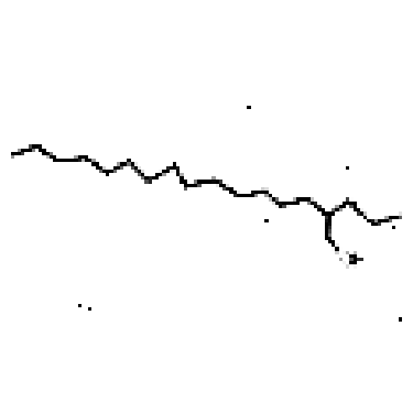 CCCCCCCCCCCCCCC(CO)CCC